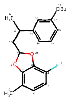 Cc1ccc(F)c2c1OC(CC(C)c1cccc(OCC(C)C)c1)O2